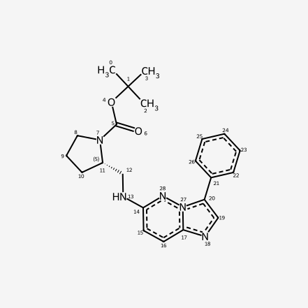 CC(C)(C)OC(=O)N1CCC[C@H]1CNc1ccc2ncc(-c3ccccc3)n2n1